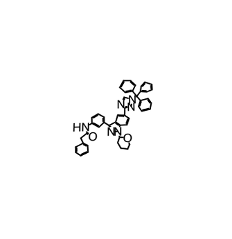 O=C(Cc1ccccc1)Nc1cccc(-c2nn(C3CCCCO3)c3ccc(-c4ncn(C(c5ccccc5)(c5ccccc5)c5ccccc5)n4)cc23)c1